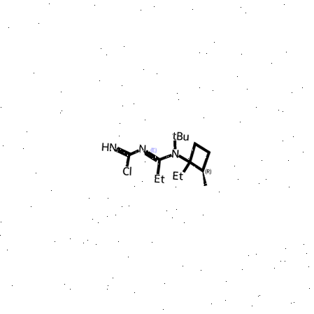 CC/C(=N\C(=N)Cl)N(C(C)(C)C)C1(CC)CC[C@H]1C